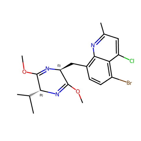 COC1=N[C@H](C(C)C)C(OC)=N[C@H]1Cc1ccc(Br)c2c(Cl)cc(C)nc12